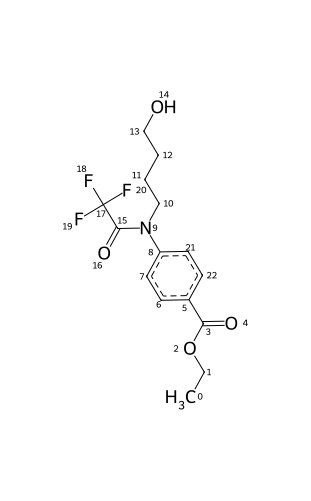 CCOC(=O)c1ccc(N(CCCCO)C(=O)C(F)(F)F)cc1